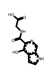 O=C(O)CNC(=O)c1ncc2[nH]ccc2c1O